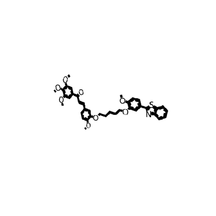 COc1ccc(/C=C/C(=O)c2cc(OC)c(OC)c(OC)c2)cc1OCCCCCOc1cc(-c2nc3ccccc3s2)ccc1OC